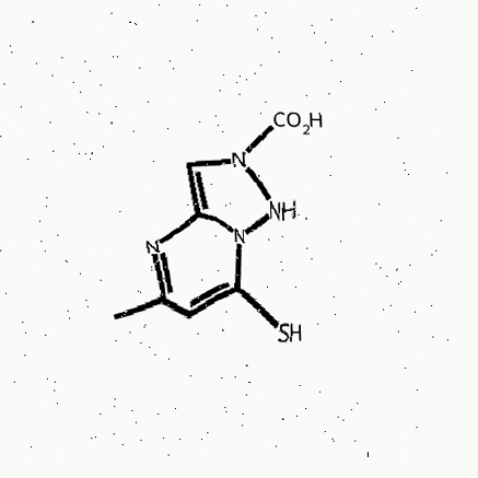 CC1=NC2=CN(C(=O)O)NN2C(S)=C1